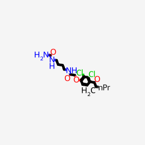 C=C(CCC)C(=O)c1ccc(OCC(=O)NCCCCNC(N)=O)c(Cl)c1Cl